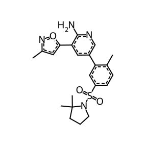 Cc1cc(-c2cc(-c3cc(S(=O)(=O)N4CCCC4(C)C)ccc3C)cnc2N)on1